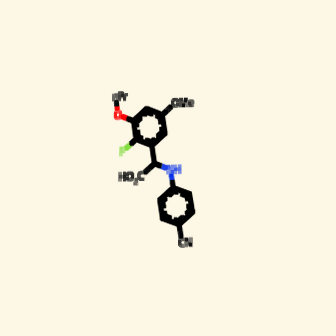 CCCOc1cc(OC)cc(C(Nc2ccc(C#N)cc2)C(=O)O)c1F